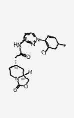 O=C(C[C@H]1CCN2C(=O)OC[C@H]2C1)Nc1ccn(C2=C(Cl)CC(F)C=C2)n1